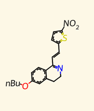 CCCCOc1ccc2c(c1)CCN=C2C=Cc1ccc([N+](=O)[O-])s1